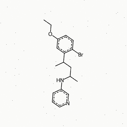 CCOc1ccc(Br)c(C(C)CC(C)Nc2cccnc2)c1